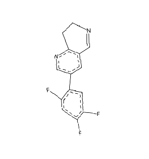 Fc1cc(F)c(-c2cnc3c(c2)C=NCC3)cc1F